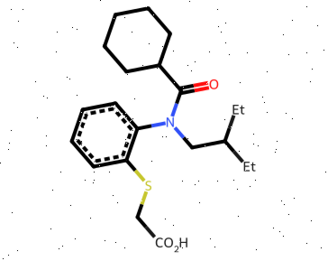 CCC(CC)CN(C(=O)C1CCCCC1)c1ccccc1SCC(=O)O